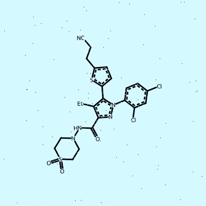 CCc1c(C(=O)NN2CCS(=O)(=O)CC2)nn(-c2ccc(Cl)cc2Cl)c1-c1ccc(CCC#N)s1